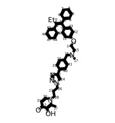 CC/C(=C(\c1ccccc1)c1ccc(OCCN(C)Cc2ccc(-c3cn(CCCn4ccc(=O)c(O)c4C)nn3)cc2)cc1)c1ccccc1